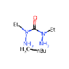 CCCCC.CCN(N)C(=O)N(N)CC